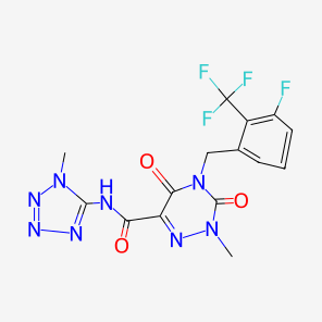 Cn1nnnc1NC(=O)c1nn(C)c(=O)n(Cc2cccc(F)c2C(F)(F)F)c1=O